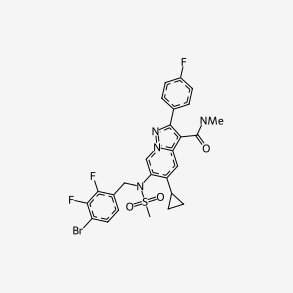 CNC(=O)c1c(-c2ccc(F)cc2)nn2cc(N(Cc3ccc(Br)c(F)c3F)S(C)(=O)=O)c(C3CC3)cc12